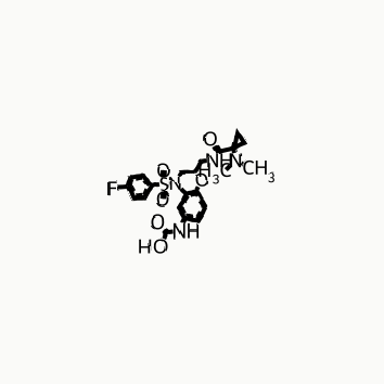 CN(C)C1(C(=O)NCC2CN(S(=O)(=O)c3ccc(F)cc3)c3cc(NC(=O)O)ccc3O2)CC1